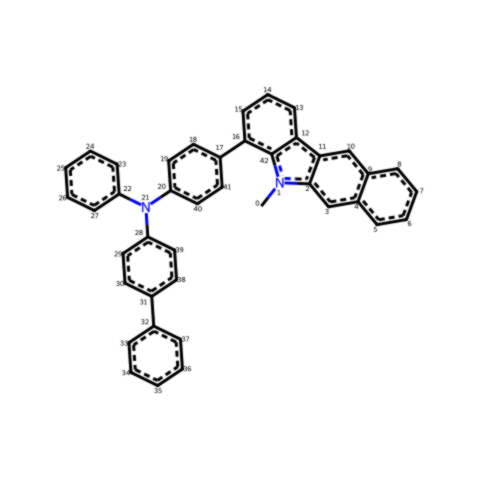 Cn1c2cc3ccccc3cc2c2cccc(-c3ccc(N(c4ccccc4)c4ccc(-c5ccccc5)cc4)cc3)c21